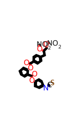 O=C(Oc1ccccc1C(=O)Oc1ccc(N=C=S)cc1)c1ccc(CC(CO[N+](=O)[O-])O[N+](=O)[O-])cc1